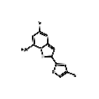 Nc1cc(Br)cc2nc(-c3cc(Br)co3)nn12